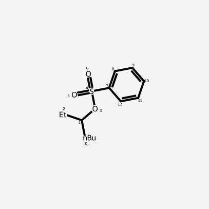 CCCCC(CC)OS(=O)(=O)c1ccccc1